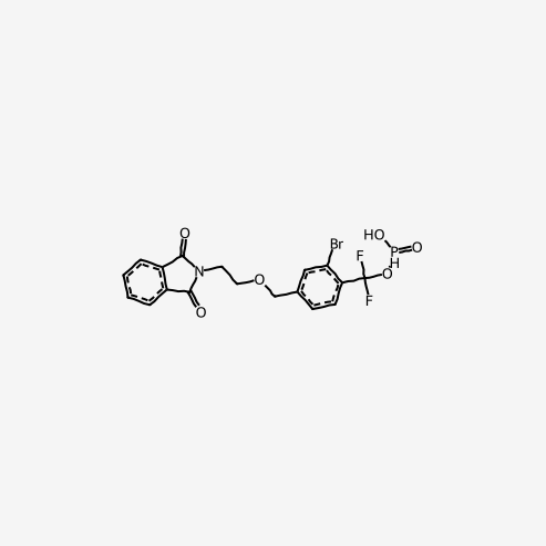 O=C1c2ccccc2C(=O)N1CCOCc1ccc(C(F)(F)O[PH](=O)O)c(Br)c1